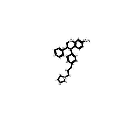 Oc1ccc2c(c1)OCC(c1ccccc1)C2c1ccc(CCCN2CCCC2)cc1